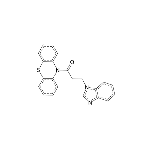 O=C(CCn1cnc2ccccc21)N1c2ccccc2Sc2ccccc21